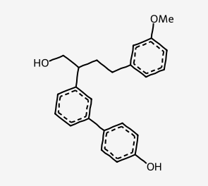 COc1cccc(CCC(CO)c2cccc(-c3ccc(O)cc3)c2)c1